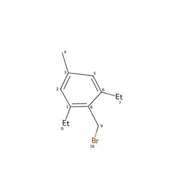 CCc1cc(C)cc(CC)c1CBr